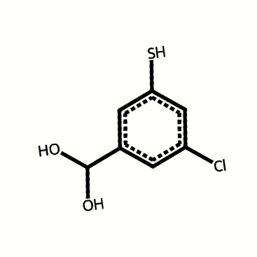 OC(O)c1cc(S)cc(Cl)c1